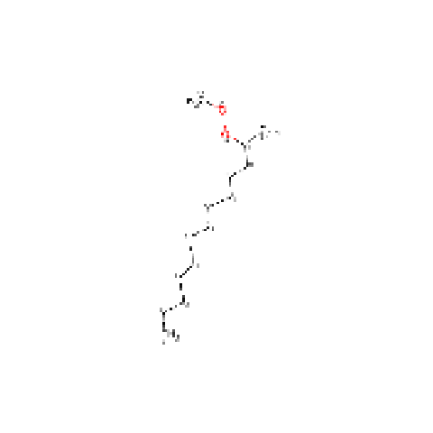 CCCCCCCCCCCC(C)OOC